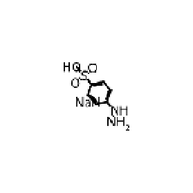 NNc1ccc(S(=O)(=O)O)cc1.[NaH]